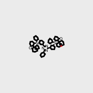 c1ccc(-c2nc(-c3cccc([Si](c4ccccc4)(c4ccccc4)c4cccc5oc6ccccc6c45)c3)nc(-c3cccc([Si](c4ccccc4)(c4ccccc4)c4cccc5oc6ccccc6c45)c3)n2)cc1